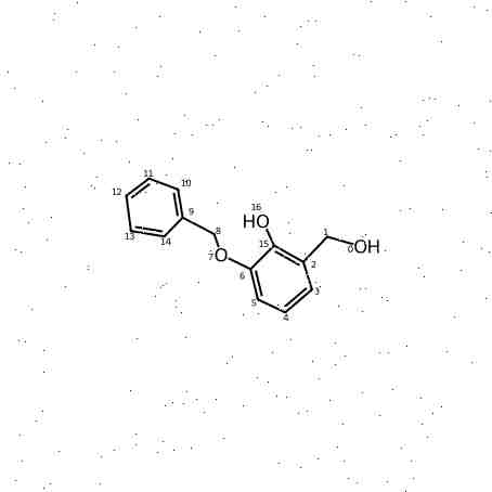 OCc1cccc(OCc2ccccc2)c1O